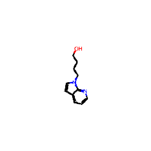 OCCCCn1c[c]c2cccnc21